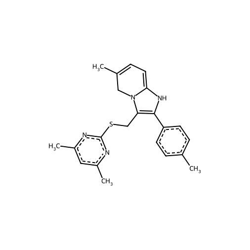 CC1=CC=C2NC(c3ccc(C)cc3)=C(CSc3nc(C)cc(C)n3)N2C1